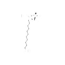 CCCCCCCCCCCC[Si](C)(C)OS(=O)(=O)F